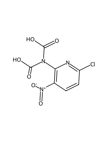 O=C(O)N(C(=O)O)c1nc(Cl)ccc1[N+](=O)[O-]